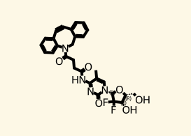 Cc1cn([C@@H]2O[C@H](CO)[C@@H](O)C2(F)F)c(=O)nc1NC(=O)CCC(=O)N1Cc2ccccc2C#Cc2ccccc21